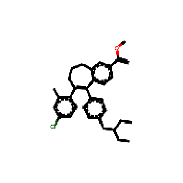 C=C(OC)c1ccc2c(c1)CCCC(c1ccc(Cl)cc1C)=C2c1ccc(CC(CC)CC)cc1